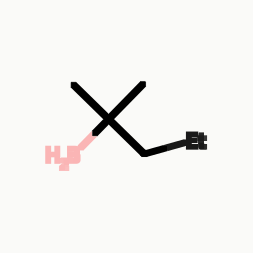 BC(C)(C)CCC